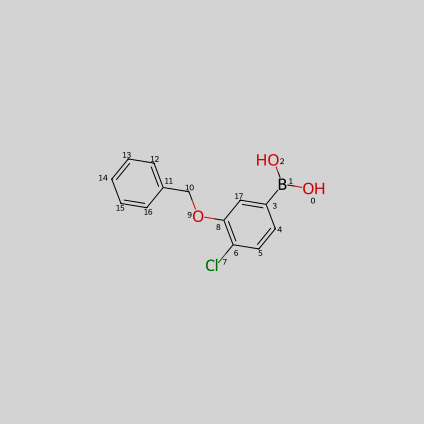 OB(O)c1ccc(Cl)c(OCc2ccccc2)c1